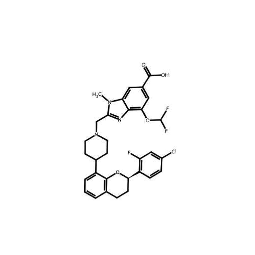 Cn1c(CN2CCC(c3cccc4c3O[C@@H](c3ccc(Cl)cc3F)CC4)CC2)nc2c(OC(F)F)cc(C(=O)O)cc21